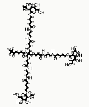 CC(=O)NC1C(OCCCCC(=O)NCCCNC(=O)CCOCC(COCCC(=O)NCCCNC(=O)CCCCOC2OC(CO)C(O)C(O)C2NC(C)=O)(COCCC(=O)NCCCNC(=O)CCCCOC2OC(CO)C(O)C(O)C2NC(C)=O)NC(=O)CCCC(=O)C(C)(C)C)OC(CO)C(O)C1O